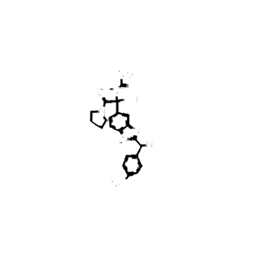 CCOC(=O)N(C(=O)NC)C(C)(C(=O)N1CCCC1)c1ccc2c(c1)nc(C(N)c1ccc(C#N)cc1)n2C